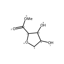 COC(=O)C1OCC(O)C1O